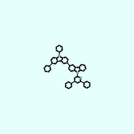 c1ccc(-c2cc(-c3ccccc3)nc(-n3c4ccccc4c4cc(-c5ccc6c(c5)c5cc(-c7ccccc7)ccc5n6-c5ccccc5)ccc43)c2)cc1